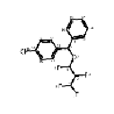 FC(F)C(F)C(F)OC(c1ccccc1)c1ccc(Cl)cc1